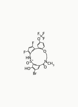 CN1CCOc2ccc(OC(F)(F)F)cc2-c2cc(c(F)cc2F)N[S+]([O-])c2cc(cc(Br)c2O)C1=O